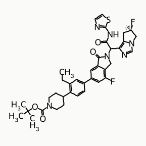 CCc1cc(-c2cc(F)c3c(c2)C(=O)N(C(C(=O)Nc2nccs2)c2ncn4c2C[C@@H](F)C4)C3)ccc1C1CCN(C(=O)OC(C)(C)C)CC1